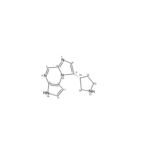 c1cc2c(ncc3ncc([C@@H]4CCNC4)n32)[nH]1